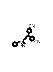 N#Cc1ccc(C(=CCCc2cncn2Cc2ccccc2)c2ccc(C#N)cc2)cc1